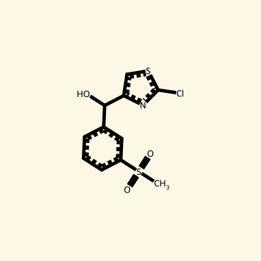 CS(=O)(=O)c1cccc(C(O)c2csc(Cl)n2)c1